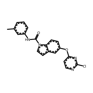 Cc1cccc(NC(=O)n2ccc3cc(Oc4ccnc(Cl)n4)ccc32)c1